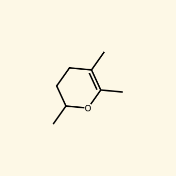 CC1=C(C)OC(C)CC1